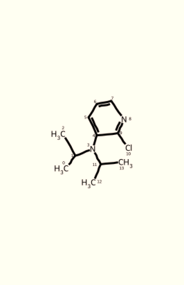 CC(C)N(c1cccnc1Cl)C(C)C